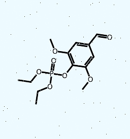 CCOP(=O)(OCC)Oc1c(OC)cc(C=O)cc1OC